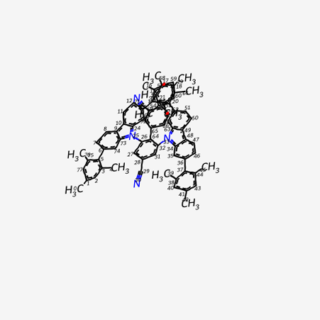 Cc1cc(C)c(-c2ccc3c4ccc(-c5c(C)cc(C)cc5C)cc4n(-c4cc(C#N)cc(-n5c6cc(-c7c(C)cc(C)cc7C)ccc6c6ccc(-c7c(C)cc(C)cc7C)cc65)c4-c4cccc(C#N)c4)c3c2)c(C)c1